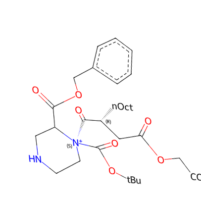 CCCCCCCC[C@H](CC(=O)OCC(Cl)(Cl)Cl)C(=O)[N@+]1(C(=O)OC(C)(C)C)CCNCC1C(=O)OCc1ccccc1